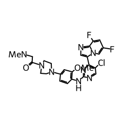 CNCC(=O)N1CCN(c2ccc(Nc3ncc(Cl)c(-c4cnc5c(F)cc(F)cn45)n3)c(OC)c2)CC1